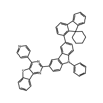 c1ccc(-n2c3ccc(-c4nc(-c5ccncc5)c5sc6ccccc6c5n4)cc3c3cc(-c4cccc5c4C4(CCCCC4)c4ccccc4-5)ccc32)cc1